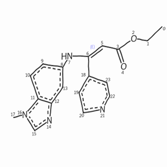 CCOC(=O)/C=C(/Nc1ccc2c(c1)ncn2C)c1ccncc1